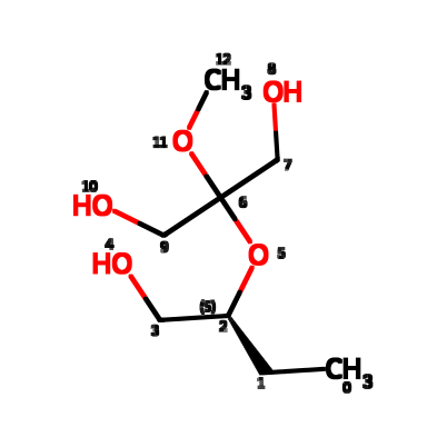 CC[C@@H](CO)OC(CO)(CO)OC